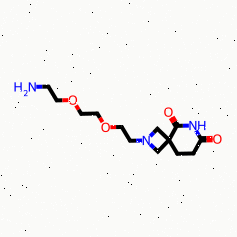 NCCOCCOCCN1CC2(CCC(=O)NC2=O)C1